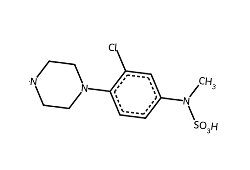 CN(c1ccc(N2CC[N]CC2)c(Cl)c1)S(=O)(=O)O